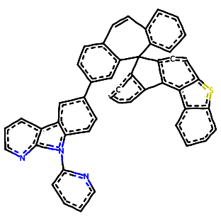 C1=Cc2ccc(-c3ccc4c(c3)c3cccnc3n4-c3ccccn3)cc2C2(c3ccccc31)c1ccccc1-c1c2ccc2sc3ccccc3c12